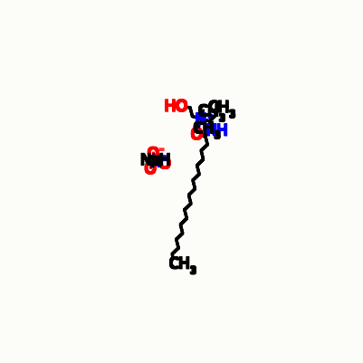 CCCCCCCCCCCCCCCCCC(=O)NC(CC)[N+](C)(C)CCO.O=[N+]([O-])[O-].[NaH]